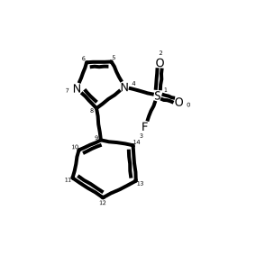 O=S(=O)(F)n1ccnc1-c1ccccc1